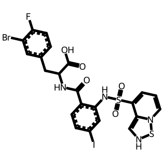 O=C(NC(Cc1ccc(F)c(Br)c1)C(=O)O)c1ccc(I)cc1NS(=O)(=O)C1=CC=CN2SNC=C12